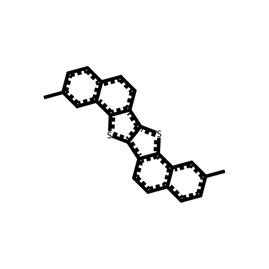 Cc1ccc2ccc3c(sc4c5ccc6ccc(C)cc6c5sc34)c2c1